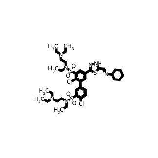 CCN(CC)CCN(CC)S(=O)(=O)c1cc(-c2cc(C3=NNC(C=NC4CCCCC4)S3)cc(S(=O)(=O)N(CC)CCN(CC)CC)c2Cl)ccc1Cl